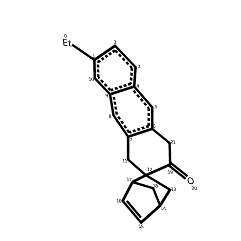 CCc1ccc2cc3c(cc2c1)CC1(CC2C=CC1C2)C(=O)C3